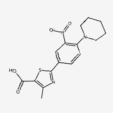 Cc1nc(-c2ccc(N3CCCCC3)c([N+](=O)[O-])c2)sc1C(=O)O